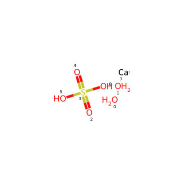 O.O.O=S(=O)(O)O.[Ca]